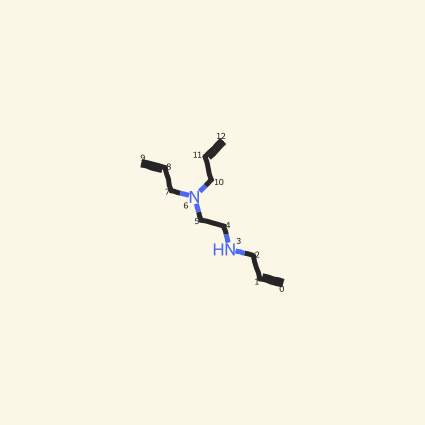 C=CCNCCN(CC=C)CC=C